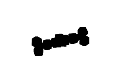 c1ccc2c(c1)c1ccccc1n2-c1ccc(-c2cnc3c(ccc4cc(-c5ccc(-n6c7ccccc7c7ccccc76)cc5)cnc43)c2)cc1